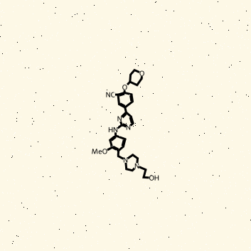 COc1cc(Nc2nccc(-c3ccc(OC4CCOCC4)c(C#N)c3)n2)ccc1CN1CCN(CCO)CC1